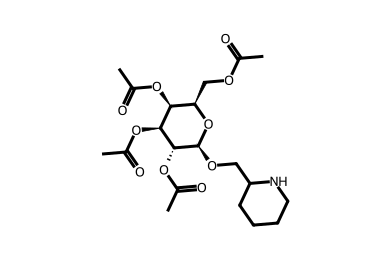 CC(=O)OC[C@H]1O[C@@H](OCC2CCCCN2)[C@H](OC(C)=O)[C@@H](OC(C)=O)[C@H]1OC(C)=O